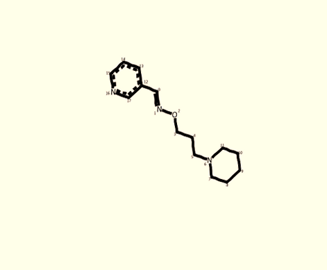 C(=NOCCCN1CCCCC1)c1cccnc1